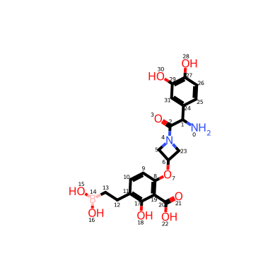 NC(C(=O)N1CC(Oc2ccc(CCB(O)O)c(O)c2C(=O)O)C1)c1ccc(O)c(O)c1